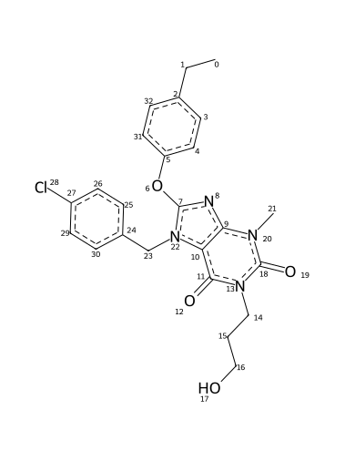 CCc1ccc(Oc2nc3c(c(=O)n(CCCO)c(=O)n3C)n2Cc2ccc(Cl)cc2)cc1